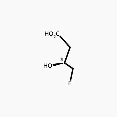 O=C(O)C[C@H](O)CF